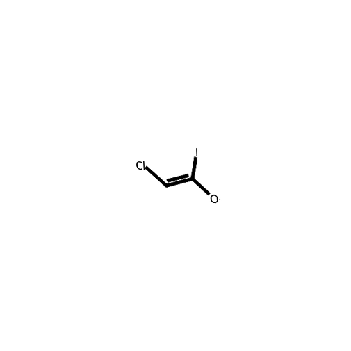 [O]C(I)=CCl